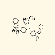 COc1ccc(C(Cc2ccncc2)c2ccc(NS(=O)(=O)Cc3ccccc3)cc2)cc1OC1CCCC1.Cl